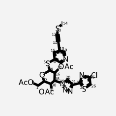 CC(=O)OCC1OC(Sc2cncc(C#CSI)c2)C(OC(C)=O)C(n2cc(-c3nc(Cl)cs3)nn2)C1OC(C)=O